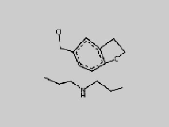 CCCNCCC.ClCc1ccc2c(c1)CCC2